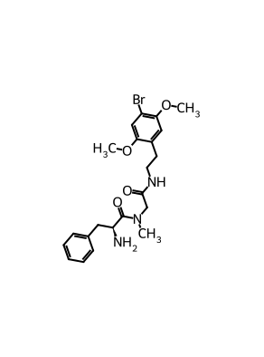 COc1cc(CCNC(=O)CN(C)C(=O)[C@@H](N)Cc2ccccc2)c(OC)cc1Br